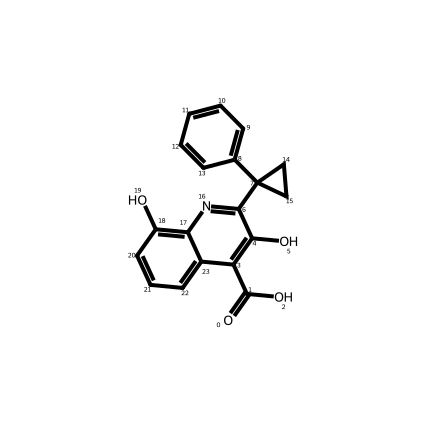 O=C(O)c1c(O)c(C2(c3ccccc3)CC2)nc2c(O)cccc12